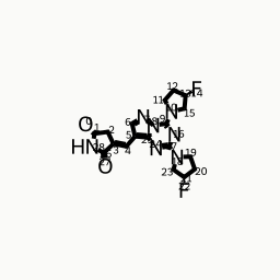 O=C1C/C(=C\c2cnn3c(N4CC[C@@H](F)C4)nc(N4CC[C@H](F)C4)nc23)C(=O)N1